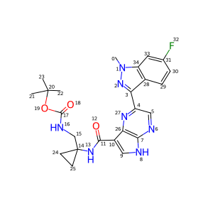 Cn1nc(-c2cnc3[nH]cc(C(=O)NC4(CNC(=O)OC(C)(C)C)CC4)c3n2)c2ccc(F)cc21